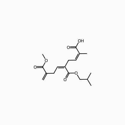 C=C(CC=C(CC=C(C)C(=O)O)C(=O)OCC(C)C)C(=O)OC